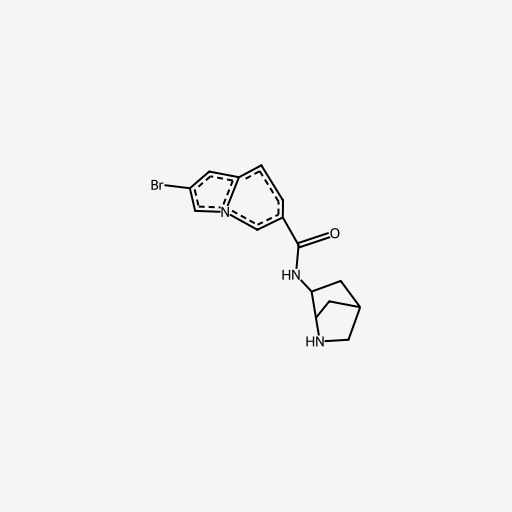 O=C(NC1CC2CNC1C2)c1ccc2cc(Br)cn2c1